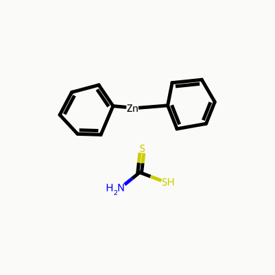 NC(=S)S.c1cc[c]([Zn][c]2ccccc2)cc1